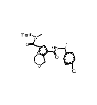 CCC[C@H](C)N(C)C(=O)c1cc(C(=O)N[C@H](C)c2ccc(Cl)cc2)c2n1CCOC2